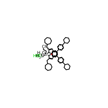 Cl.Cl.[CH3][Zr](=[SiH2])([CH2]CC(F)(F)F)([CH]1C(CC2CCCCCC2)=Cc2c(-c3ccc(C4CCCCC4)cc3)cccc21)[CH]1C(CC2CCCCCC2)=Cc2c(-c3ccc(C4CCCCC4)cc3)cccc21